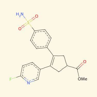 COC(=O)C1CC(c2ccc(S(N)(=O)=O)cc2)=C(c2ccc(F)nc2)C1